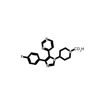 O=C(O)N1CCC(n2cnc(-c3ccc(F)cc3)c2-c2ccncn2)CC1